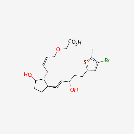 Cc1sc(CC[C@H](O)/C=C/[C@H]2CCC(O)[C@@H]2C/C=C\COCC(=O)O)cc1Br